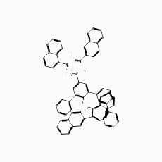 c1ccc(-c2cccc(-c3cc(-c4nc(-c5ccc6ccccc6c5)nc(-c5cccc6ccccc56)n4)cc(-c4ccccc4)c3-n3c4cc5ccccc5cc4c4ccc5ccccc5c43)c2)cc1